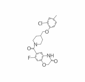 Cc1ccc(OCC2CCN(C(=O)c3cc4c(cc3F)OCC(=O)N4)CC2)c(Cl)c1